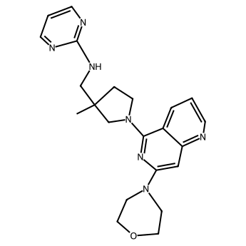 CC1(CNc2ncccn2)CCN(c2nc(N3CCOCC3)cc3ncccc23)C1